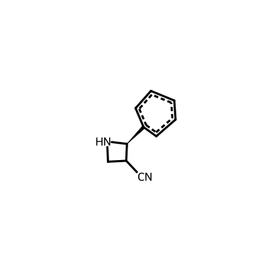 N#CC1CN[C@H]1c1ccccc1